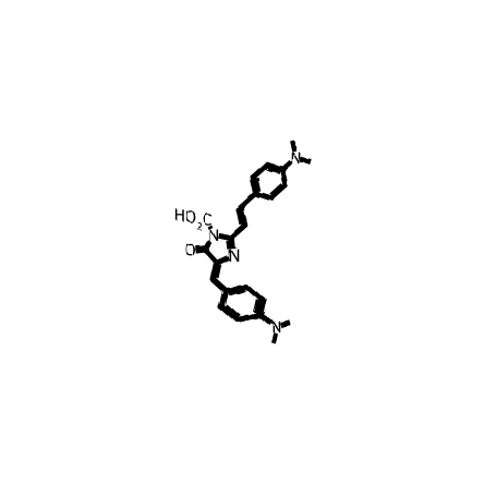 CN(C)c1ccc(/C=C2N=C(/C=C/c3ccc(N(C)C)cc3)N(C(=O)O)C\2=O)cc1